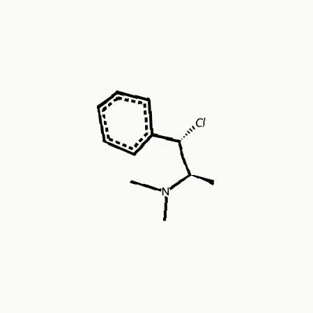 C[C@H]([C@@H](Cl)c1ccccc1)N(C)C